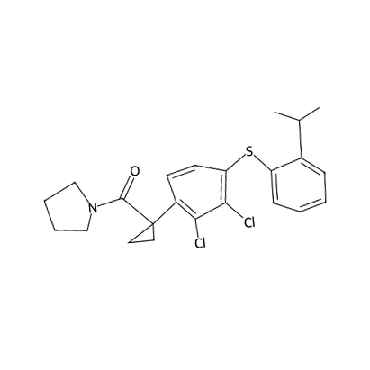 CC(C)c1ccccc1Sc1ccc(C2(C(=O)N3CCCC3)CC2)c(Cl)c1Cl